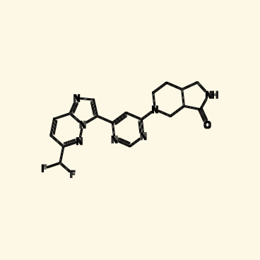 O=C1NCC2CCN(c3cc(-c4cnc5ccc(C(F)F)nn45)ncn3)CC12